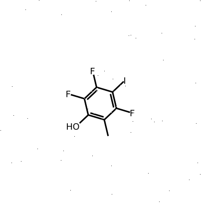 Cc1c(O)c(F)c(F)c(I)c1F